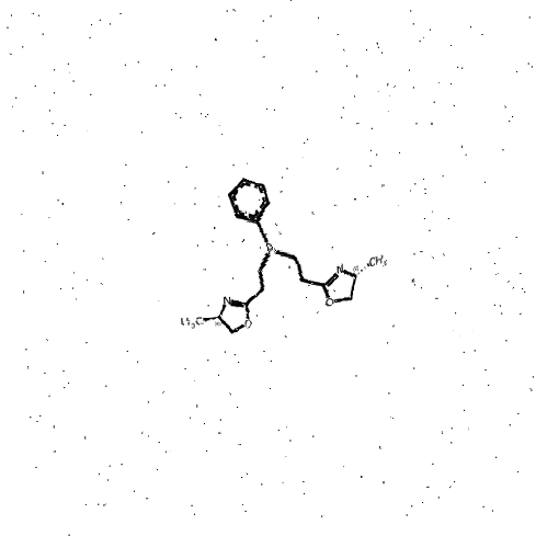 C[C@@H]1COC(CCP(CCC2=N[C@H](C)CO2)c2ccccc2)=N1